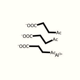 CC(=O)CCC(=O)[O-].CC(=O)CCC(=O)[O-].CC(=O)CCC(=O)[O-].[Al+3]